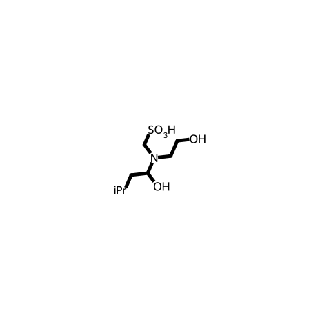 CC(C)CC(O)N(CCO)CS(=O)(=O)O